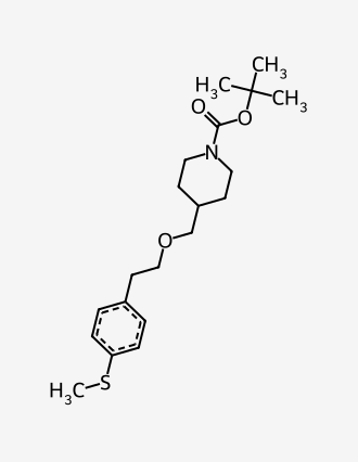 CSc1ccc(CCOCC2CCN(C(=O)OC(C)(C)C)CC2)cc1